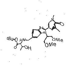 COCC(COC)n1c(-c2cc(C)c(=O)n(C)c2)nc2ccc(CNC(C(=O)OC(C)(C)C)C(C)O)cc21